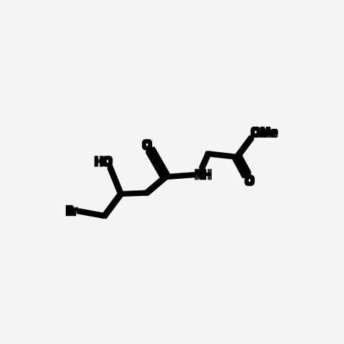 COC(=O)CNC(=O)CC(O)CBr